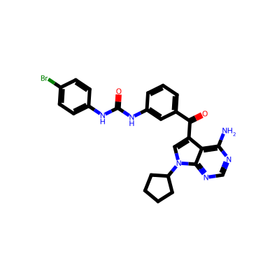 Nc1ncnc2c1c(C(=O)c1cccc(NC(=O)Nc3ccc(Br)cc3)c1)cn2C1CCCC1